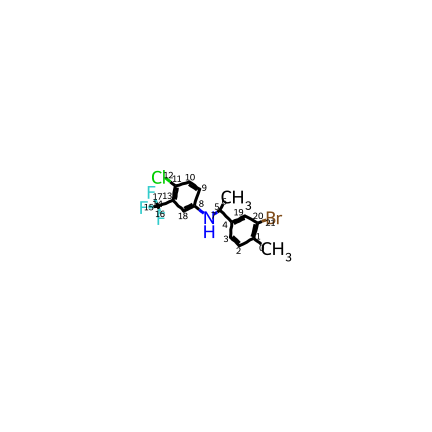 Cc1ccc(C(C)Nc2ccc(Cl)c(C(F)(F)F)c2)cc1Br